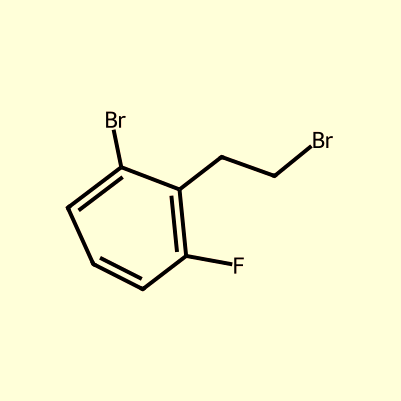 Fc1cccc(Br)c1CCBr